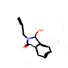 C=CCN1C(=O)c2ccccc2C1O